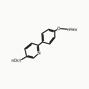 CCCCCCCCc1ccc(-c2ccc(OCCCCCC)cc2)nc1